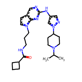 CC(C)N1CCC(n2cc(Nc3ncc4ccn(CCCNC(=O)C5CCC5)c4n3)cn2)CC1